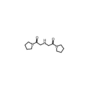 O=C(CNCC(=O)N1CCCC1)N1CCCC1